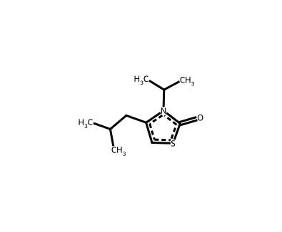 CC(C)Cc1csc(=O)n1C(C)C